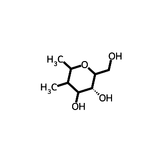 CC1OC(CO)[C@H](O)C(O)C1C